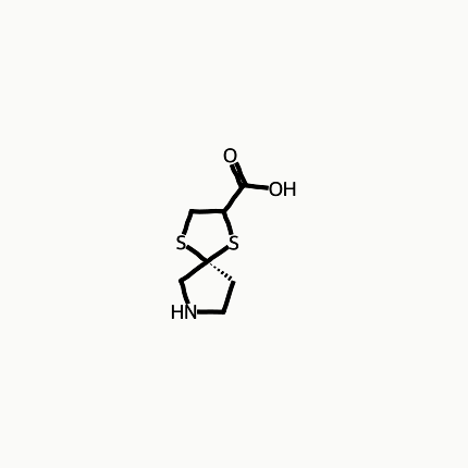 O=C(O)C1CS[C@@]2(CCNC2)S1